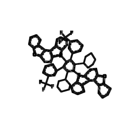 FC(F)(F)c1cccc(-c2c(C3CCCCC3)c(-n3c4ccccc4c4c5c(ccc43)oc3ccccc35)c(C3CCCCC3)c(-c3cccc(C(F)(F)F)c3)c2-n2c3ccccc3c3c4c(ccc32)oc2ccccc24)c1